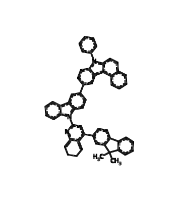 CC1(C)c2ccccc2-c2ccc(-c3cc(-n4c5ccccc5c5cc(-c6ccc7c(c6)c6c8ccccc8ccc6n7-c6ccccc6)ccc54)nc4c3=CCCC=4)cc21